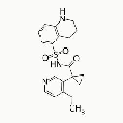 CCc1ccncc1C1(C(=O)NS(=O)(=O)c2cccc3c2CCCN3)CC1